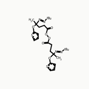 CC(C)(C)N=NC(C)(CCC(=O)OOC(=O)CCC(C)(N=NC(C)(C)C)Oc1cccs1)Oc1cccs1